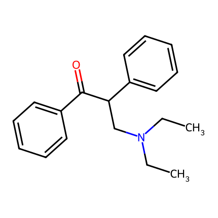 CCN(CC)CC(C(=O)c1ccccc1)c1ccccc1